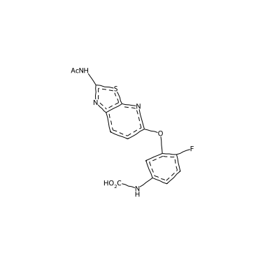 CC(=O)Nc1nc2ccc(Oc3cc(NC(=O)O)ccc3F)nc2s1